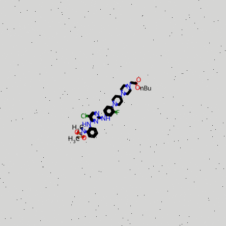 CCCCOC(=O)CN1CCN(C2CCN(c3ccc(Nc4ncc(Cl)c(Nc5ccccc5N(C)S(C)(=O)=O)n4)cc3F)CC2)CC1